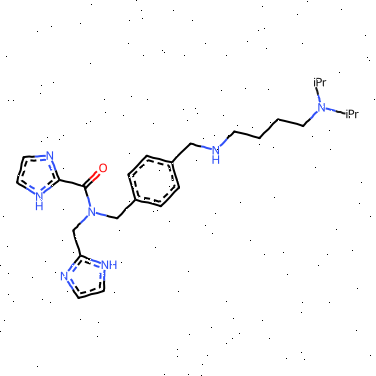 CC(C)N(CCCCNCc1ccc(CN(Cc2ncc[nH]2)C(=O)c2ncc[nH]2)cc1)C(C)C